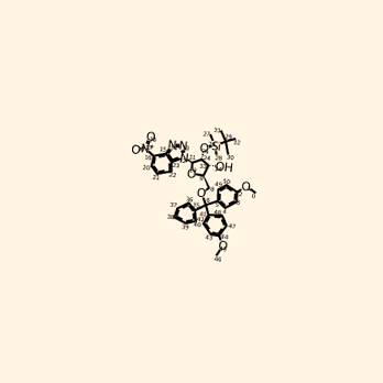 COc1ccc(C(OC[C@H]2O[C@@H](n3nnc4c([N+](=O)[O-])cccc43)[C@H](O[Si](C)(C)C(C)(C)C)[C@@H]2O)(c2ccccc2)c2ccc(OC)cc2)cc1